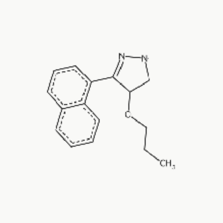 CCCOC1C[N]N=C1c1cccc2ccccc12